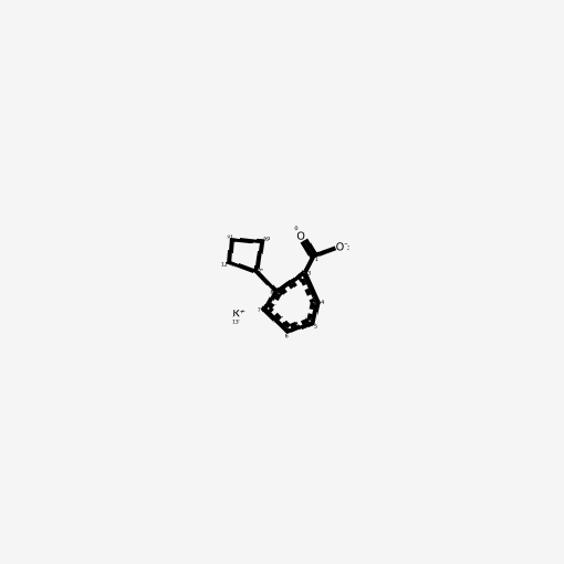 O=C([O-])c1ccccc1C1CCC1.[K+]